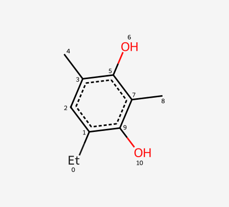 CCc1cc(C)c(O)c(C)c1O